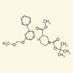 COCOc1cc(-c2ccccc2)cc([C@H]2CCN(C(=O)OC(C)(C)C)CC2C(=O)OC)c1